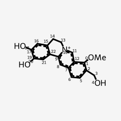 COc1c(CO)ccc2cc3[n+](cc12)CCc1cc(O)c(O)cc1-3